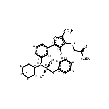 CC(C)COC(=O)COc1c(C(=O)O)sc(-c2cccc(N(C3CCNCC3)S(=O)(=O)Cc3ccccc3)c2)c1Cl